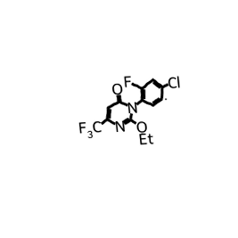 CCOc1nc(C(F)(F)F)cc(=O)n1-c1c[c]c(Cl)cc1F